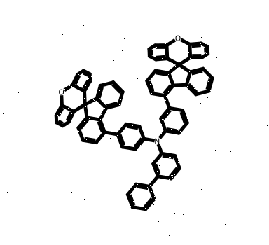 c1ccc(-c2cccc(N(c3ccc(-c4cccc5c4-c4ccccc4C54c5ccccc5Oc5ccccc54)cc3)c3cccc(-c4cccc5c4-c4ccccc4C54c5ccccc5Oc5ccccc54)c3)c2)cc1